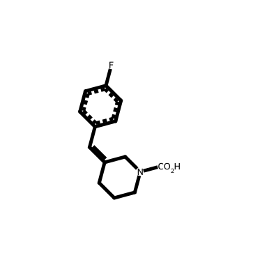 O=C(O)N1CCC/C(=C/c2ccc(F)cc2)C1